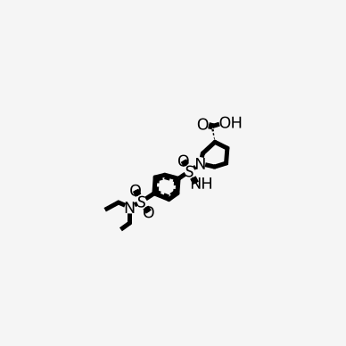 CCN(CC)S(=O)(=O)c1ccc(S(=N)(=O)N2CCC[C@@H](C(=O)O)C2)cc1